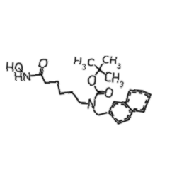 CC(C)(C)OC(=O)N(CCCCCC(=O)NO)Cc1ccc2ccccc2c1